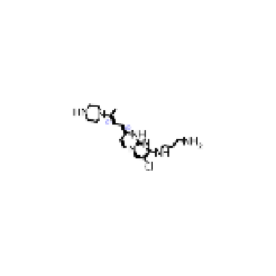 C=C/C(=C\C=C(/C)N1CCNCC1)Nc1ncc(Cl)c(NCCCN)n1